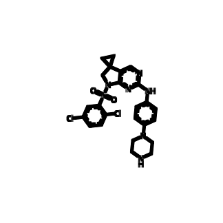 O=S(=O)(c1cc(Cl)ccc1Cl)N1CC2(CC2)c2cnc(Nc3ccc(N4CCNCC4)cc3)nc21